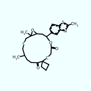 Cc1nc2cc(C3CC4OC4(C)CCCC(C)CCC(=O)C4(CCC4)CCC(=O)O3)ccc2s1